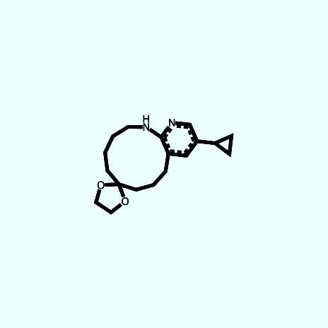 c1nc2c(cc1C1CC1)CCCC1(CCCCN2)OCCO1